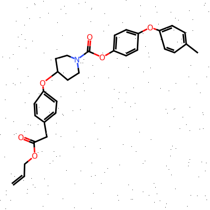 C=CCOC(=O)Cc1ccc(OC2CCN(C(=O)Oc3ccc(Oc4ccc(C)cc4)cc3)CC2)cc1